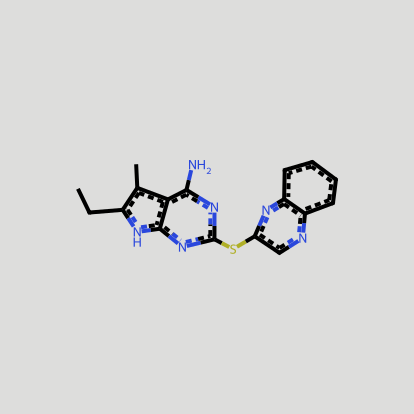 CCc1[nH]c2nc(Sc3cnc4ccccc4n3)nc(N)c2c1C